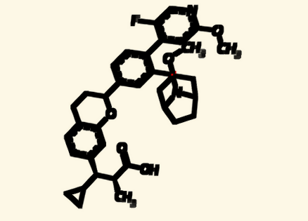 COc1cc(-c2ccc(C3CCc4ccc([C@H](C5CC5)[C@H](C)C(=O)O)cc4O3)cc2CN2C3CCC2CC(OC)C3)c(F)cn1